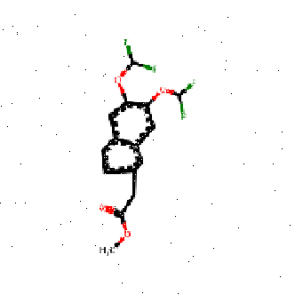 COC(=O)Cc1ccc2cc(OC(F)F)c(OC(F)F)cc2c1